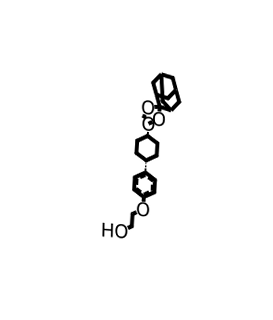 COC1(OO[C@H]2CC[C@@H](c3ccc(OCCO)cc3)CC2)C2CC3CC(C2)CC1C3